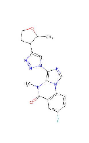 CC1OCCC1c1cn(C2=C3N(C)C(=O)c4cc(F)ccc4[N+]3C=N2)nn1